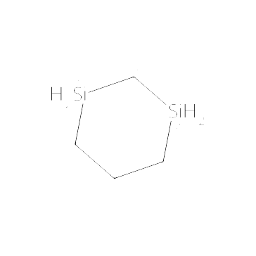 C1C[SiH2]C[SiH2]C1